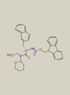 O=C(O)CN(C(=O)[C@H](Cc1ccc2ccccc2c1)NC(=O)OCC1c2ccccc2-c2ccccc21)C1CCCCO1